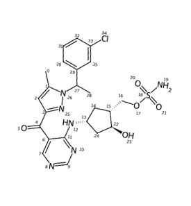 Cc1cc(C(=O)c2cncnc2N[C@@H]2C[C@H](COS(N)(=O)=O)[C@@H](O)C2)nn1C(C)c1cccc(Cl)c1